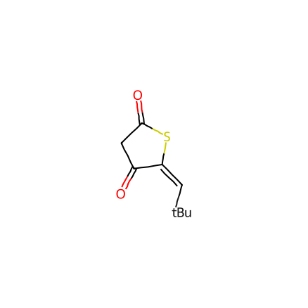 CC(C)(C)C=C1SC(=O)CC1=O